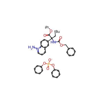 CC(C)OC(=O)[C@](CC(C)(C)C)(NC(=O)OCc1ccccc1)c1ccc2c(ccc[n+]2N)c1.O=P([O-])(Oc1ccccc1)Oc1ccccc1